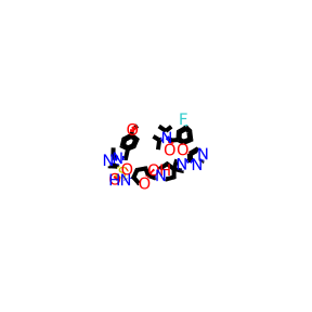 COc1ccc(Cn2c(S(=O)(=O)N[C@@H]3CC[C@](O)(CN4CCC5(CC4)CN(c4ncncc4Oc4ccc(F)cc4C(=O)N(C(C)C)C(C)C)C5)OC3)cnc2C)cc1